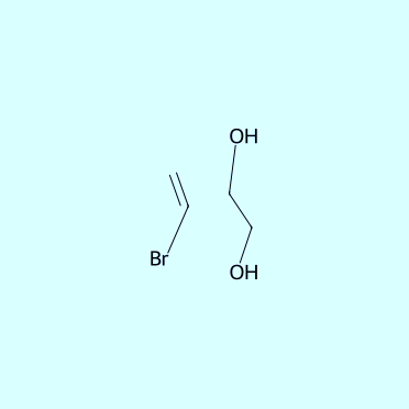 C=CBr.OCCO